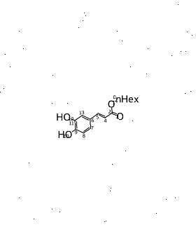 CCCCCCOC(=O)C=Cc1ccc(O)c(O)c1